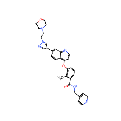 Cc1c(Oc2ccnc3cc(-c4cnn(CCN5CCOCC5)c4)ccc23)cccc1C(=O)NCc1ccncc1